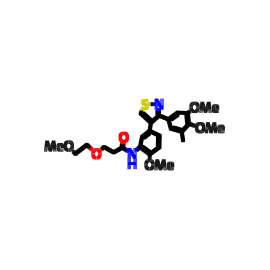 COCCOCCC(=O)Nc1cc(-c2csnc2-c2cc(C)c(OC)c(OC)c2)ccc1OC